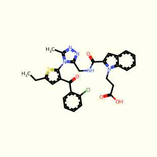 CCc1cc(C(=O)c2ccccc2Cl)c(-n2c(C)nnc2CNC(=O)c2cc3ccccc3n2CCC(=O)O)s1